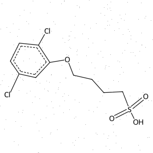 O=S(=O)(O)CCCCOc1cc(Cl)ccc1Cl